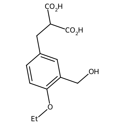 CCOc1ccc(CC(C(=O)O)C(=O)O)cc1CO